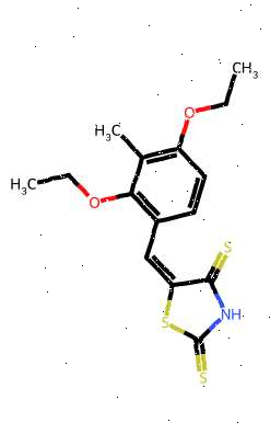 CCOc1ccc(C=C2SC(=S)NC2=S)c(OCC)c1C